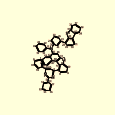 c1ccc(-c2cc(-c3cccc4oc5cc(N(c6ccccc6)c6cccc(-c7cccc8c7sc7ccccc78)c6)c6ccccc6c5c34)nc(-c3ccccc3)n2)cc1